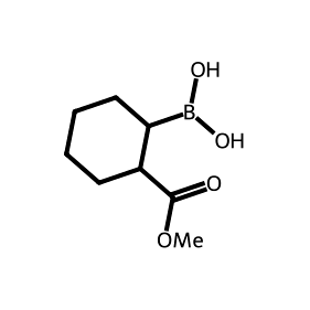 COC(=O)C1CCCCC1B(O)O